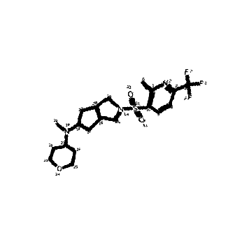 Cc1nc(C(F)(F)F)ccc1S(=O)(=O)N1CC2CC(N(C)C3CCOCC3)CC2C1